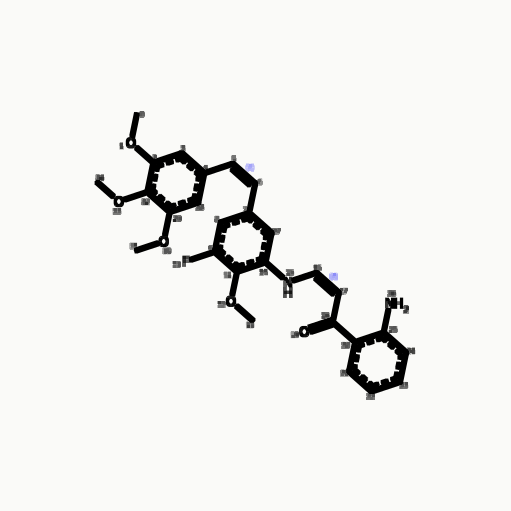 COc1cc(/C=C\c2cc(F)c(OC)c(N/C=C\C(=O)c3ccccc3N)c2)cc(OC)c1OC